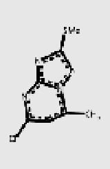 CSc1nc2nc(Cl)cc(C)n2n1